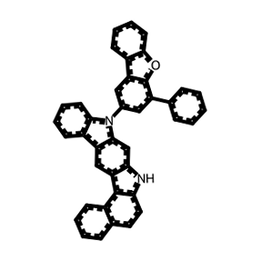 c1ccc(-c2cc(-n3c4ccccc4c4cc5c(cc43)[nH]c3ccc4ccccc4c35)cc3c2oc2ccccc23)cc1